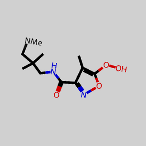 CNCC(C)(C)CNC(=O)c1noc(OO)c1C